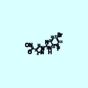 O=NC(=O)c1cnn(-c2nc3cc(Br)cc(F)c3[nH]2)c1